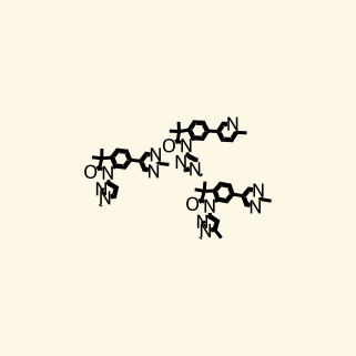 Cc1ccc(-c2ccc3c(c2)N(c2cn(C)cn2)C(=O)C3(C)C)cn1.Cc1ncc(-c2ccc3c(c2)N(c2cc(C)n(C)n2)C(=O)C3(C)C)cn1.Cc1ncc(-c2ccc3c(c2)N(c2ccn(C)n2)C(=O)C3(C)C)cn1